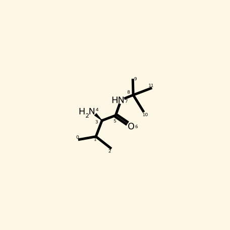 CC(C)[C@@H](N)C(=O)NC(C)(C)C